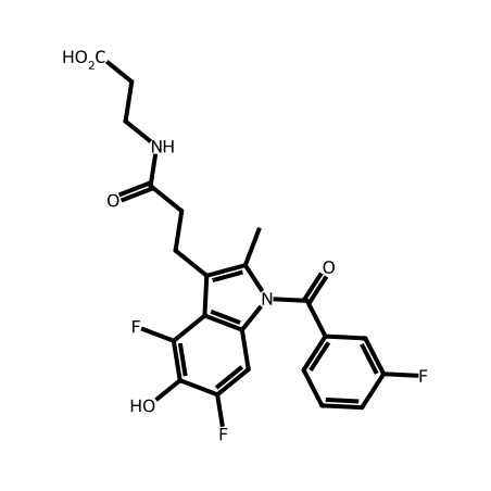 Cc1c(CCC(=O)NCCC(=O)O)c2c(F)c(O)c(F)cc2n1C(=O)c1cccc(F)c1